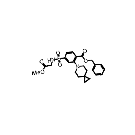 COC(=O)CNS(=O)(=O)c1ccc(C(=O)OCc2ccccc2)c(N2CCC3(CC2)CC3)c1